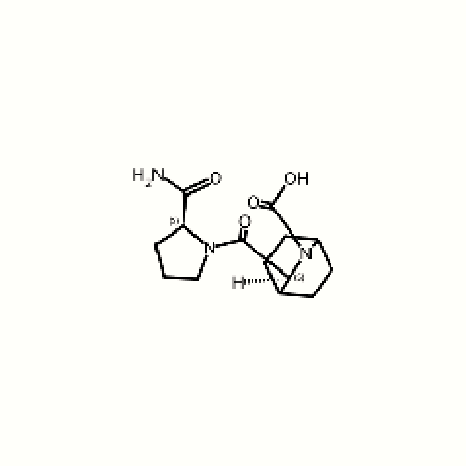 NC(=O)[C@@H]1CCCN1C(=O)[C@@H]1C2CCC(CC2)N1C(=O)O